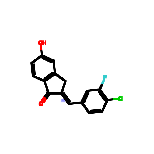 O=C1/C(=C/c2ccc(Cl)c(F)c2)Cc2cc(O)ccc21